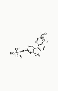 Cc1cccc(-c2ccc(C#CC(C)(C)O)nc2C)c1/N=C\NC=O